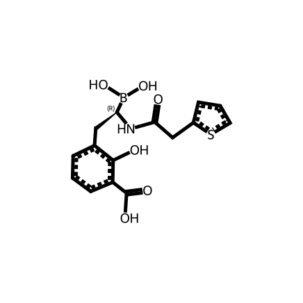 O=C(Cc1cccs1)N[C@@H](Cc1cccc(C(=O)O)c1O)B(O)O